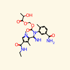 CCNC(=O)c1cn(C)c(C(=N)N(C(=O)OCOC(=O)C(C)O)c2cc(C(N)=O)ccc2C)c1C